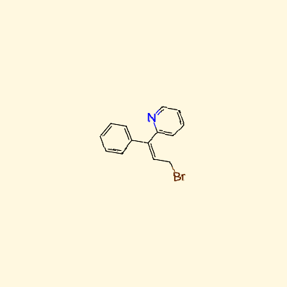 BrC/C=C(/c1ccccc1)c1ccccn1